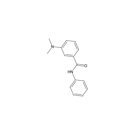 CN(C)c1cccc(C(=O)Nc2cc[c]cc2)c1